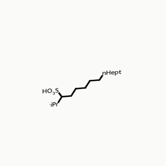 CCCCCCCCCCCCC([C](C)C)S(=O)(=O)O